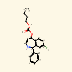 CCCCOC(=O)OC1C=CN=C(c2ccccc2)c2cc(Cl)ccc21